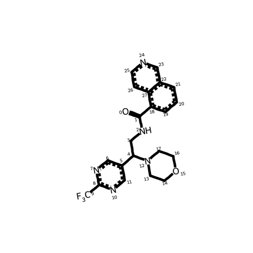 O=C(NCC(c1cnc(C(F)(F)F)nc1)N1CCOCC1)c1cccc2cnccc12